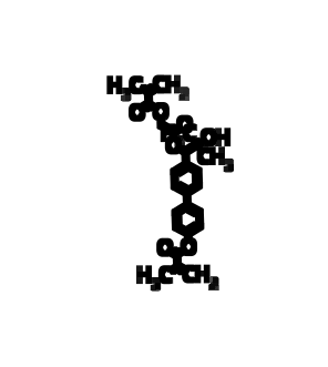 C=C(C)C(=O)OCC(=O)OC(c1ccc(-c2ccc(OC(=O)C(=C)C)cc2)cc1)C(C)(C)O